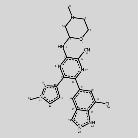 CN1CCOC(Nc2nc(-c3ccn(C)n3)c(-c3cc(Cl)c4[nH]ncc4c3)nc2C#N)C1